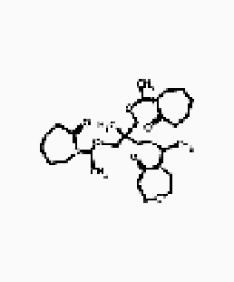 CC(OCC(C)(COC(C)N1CCCCCC1=O)COC(C)N1CCCCCC1=O)N1CCCCCC1=O